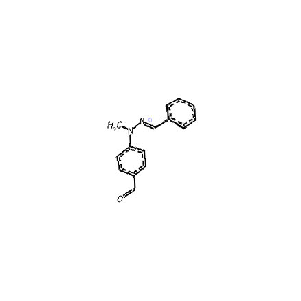 CN(/N=C/c1ccccc1)c1ccc(C=O)cc1